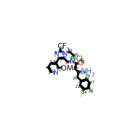 COc1ncccc1-c1nc(C(F)(F)F)n2c1CN(C(=O)C[C@H](N)Cc1cc(F)c(F)cc1F)CC2.Cl